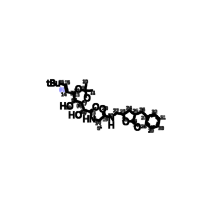 C[C@H](NC(=O)[C@H](O)[C@@H]1OC(C)(C)O[C@H](/C=C/C(C)(C)C)[C@@H]1O)C(=O)NCC1CC(Cc2ccccc2)C(=O)O1